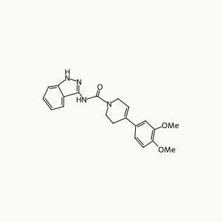 COc1ccc(C2=CCN(C(=O)Nc3n[nH]c4ccccc34)CC2)cc1OC